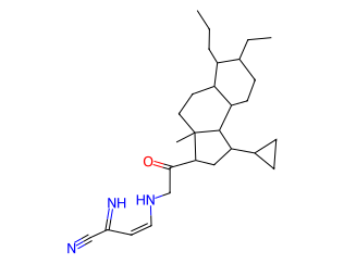 CCCC1C(CC)CCC2C1CCC1(C)C(C(=O)CN/C=C\C(=N)C#N)CC(C3CC3)C21